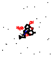 C=C1CC[C@@]2(O)[C@H]3Cc4ccc(O)c5c4[C@@]2(CCN3CC2CC2)[C@H]1O5.O.O